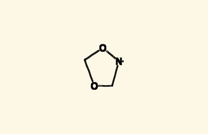 C1[N]OCO1